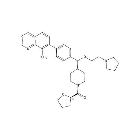 Cc1c(-c2ccc(C(OCCN3CCCC3)C3CCN(C(=O)[C@H]4CCCO4)CC3)cc2)ccc2cccnc12